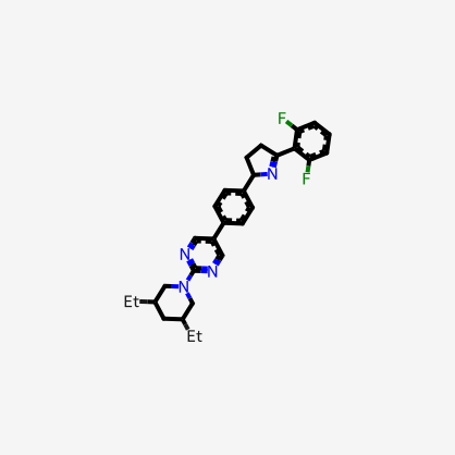 CCC1CC(CC)CN(c2ncc(-c3ccc(C4CCC(c5c(F)cccc5F)=N4)cc3)cn2)C1